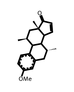 COc1ccc2c(c1)C[C@@H](C)C1C2[C@@H](C)C[C@]2(C)C(=O)C=CC12